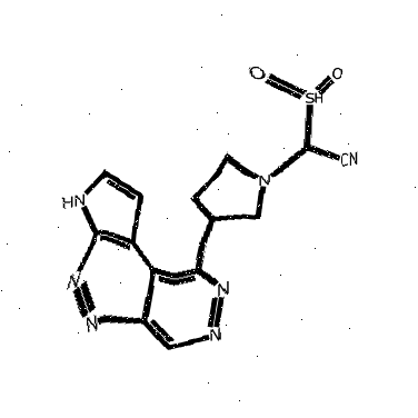 N#CC(N1CCC(c2nncc3nnc4[nH]ccc4c23)C1)[SH](=O)=O